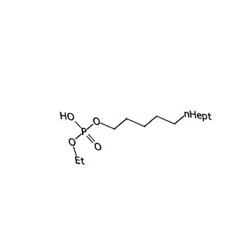 CCCCCCCCCCCCOP(=O)(O)OCC